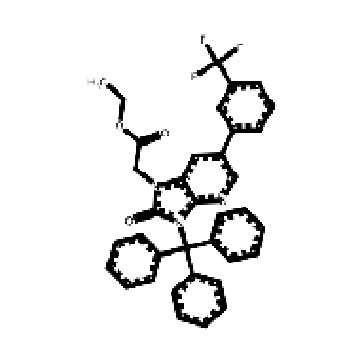 CCOC(=O)Cn1c(=O)n(C(c2ccccc2)(c2ccccc2)c2ccccc2)c2ncc(-c3cccc(C(F)(F)F)c3)cc21